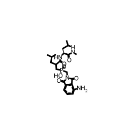 CNC(=O)[C@H](CC(C)C)NC(=O)C(CC(C)C)CP(=O)(O)CN1C(=O)c2cccc(N)c2C1=O